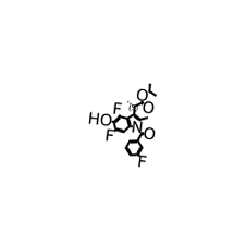 Cc1c([C@H](C)C(=O)OC(C)C)c2c(F)c(O)c(F)cc2n1C(=O)c1cccc(F)c1